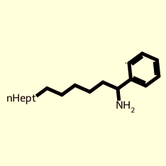 CCCCCCCCCCCCC(N)c1[c]cccc1